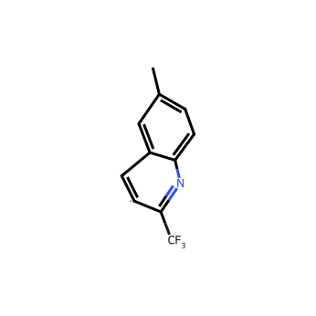 Cc1ccc2nc(C(F)(F)F)[c]cc2c1